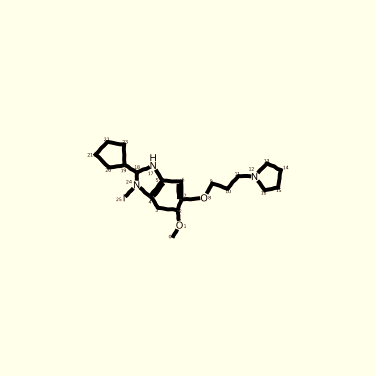 COC1CC2=C(C=C1OCCCN1CCCC1)NC(C1CCCC1)N2I